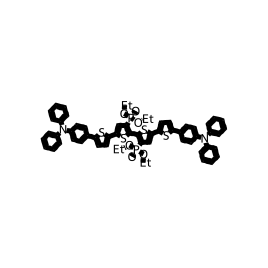 CCOP(=O)(OCC)c1cc(-c2ccc(-c3ccc(N(c4ccccc4)c4ccccc4)cc3)s2)sc1-c1sc(-c2ccc(-c3ccc(N(c4ccccc4)c4ccccc4)cc3)s2)cc1P(=O)(OCC)OCC